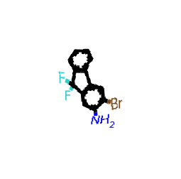 Nc1cc2c(cc1Br)-c1ccccc1C2(F)F